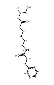 CCC(CO)NC(=O)CCCCCNC(=O)OCc1ccccc1